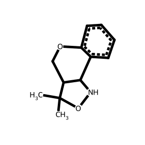 CC1(C)ONC2c3ccccc3OCC21